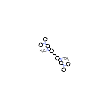 CCn1c2cc(/C=C/c3ccc4c5ccc(N(c6ccccc6)c6ccccc6)cc5n(CC)c4c3)ccc2c2ccc(N(c3ccccc3)c3ccccc3)cc21